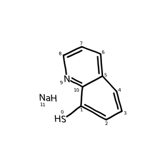 Sc1cccc2cccnc12.[NaH]